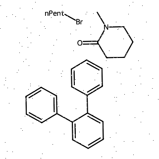 CCCCCBr.CN1CCCCC1=O.c1ccc(-c2ccccc2-c2ccccc2)cc1